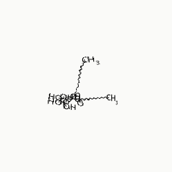 CCCCCCCCCCCCCCCCCC(=O)OC(COC(=O)CCCCCCCCCCCCCCC)COC1OC(CO)C(O)C(O)C1O